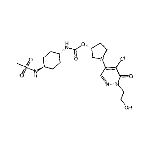 CS(=O)(=O)N[C@H]1CC[C@H](NC(=O)O[C@@H]2CCN(c3cnn(CCO)c(=O)c3Cl)C2)CC1